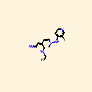 CC(C)CNCC(/C=C\N(C)Nc1ccncc1F)=C\C=N